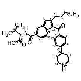 CCCCc1cc2cc(C(=O)N[C@H](C(=O)O)C(C)C)ccn2c1C(=O)c1ccc(C2CCNCC2)cc1